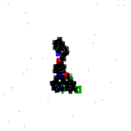 O=C(Cc1c(F)cc(Cl)cc1F)N(Cc1cccnc1)c1ccc(OCc2ccc3ccccc3n2)cc1